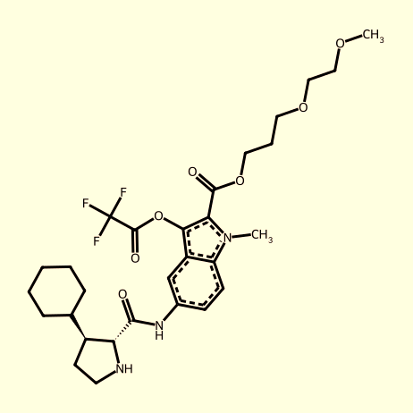 COCCOCCCOC(=O)c1c(OC(=O)C(F)(F)F)c2cc(NC(=O)[C@@H]3NCC[C@H]3C3CCCCC3)ccc2n1C